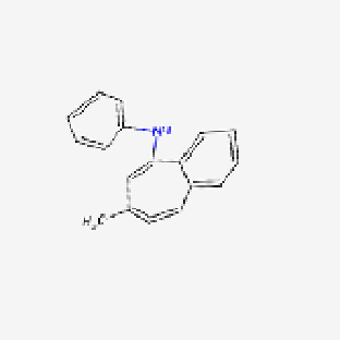 CC1=C=Cc2ccccc2C(Nc2ccccc2)=C1